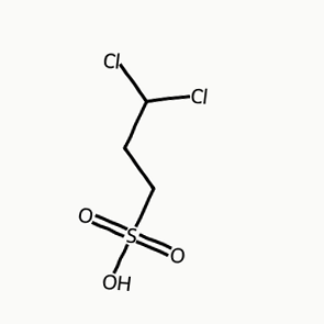 O=S(=O)(O)CCC(Cl)Cl